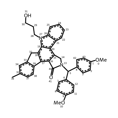 COc1ccc(C(c2ccc(OC)cc2)N2Cc3c(c4c(c5c3c3ccccc3n5CCCO)Cc3cc(C)ccc3-4)C2=O)cc1